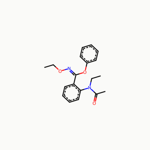 CCON=C(Oc1ccccc1)c1ccccc1N(CC)C(C)=O